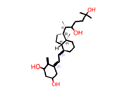 C=C1/C(=C\C=C2/CCC[C@]3(C)[C@@H]([C@H](C)C(O)CCC(C)(C)O)CC[C@@H]23)CC(O)CC1O